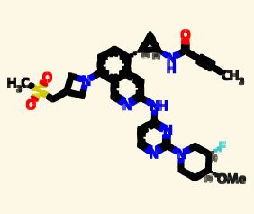 CC#CC(=O)N[C@@H]1C[C@H]1c1ccc(N2CC(CS(C)(=O)=O)C2)c2cnc(Nc3ccnc(N4CC[C@@H](OC)[C@@H](F)C4)n3)cc12